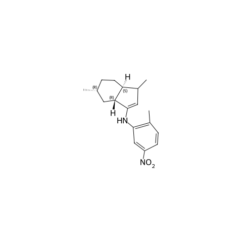 Cc1ccc([N+](=O)[O-])cc1NC1=CC(C)[C@@H]2CC[C@@H](C)C[C@@H]12